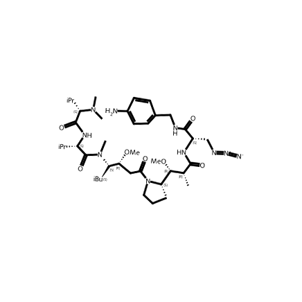 CC[C@H](C)[C@@H]([C@@H](CC(=O)N1CCC[C@H]1[C@H](OC)[C@@H](C)C(=O)N[C@@H](CN=[N+]=[N-])C(=O)NCc1ccc(N)cc1)OC)N(C)C(=O)[C@@H](NC(=O)[C@H](C(C)C)N(C)C)C(C)C